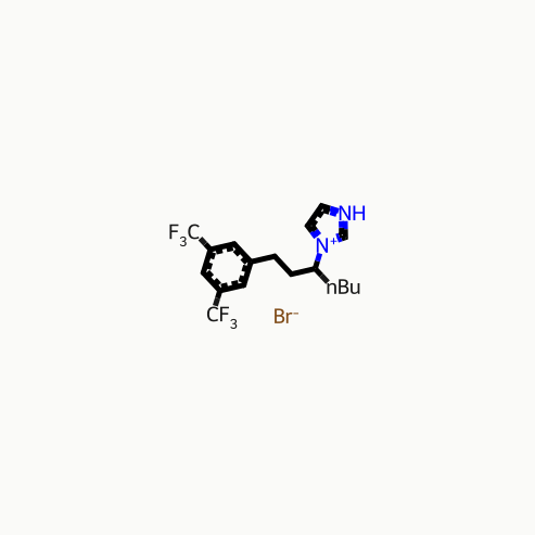 CCCCC(CCc1cc(C(F)(F)F)cc(C(F)(F)F)c1)[n+]1cc[nH]c1.[Br-]